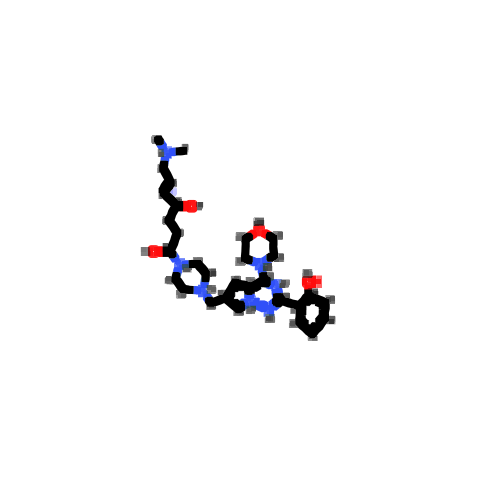 CN(C)C/C=C/C(=O)CCC(=O)N1CCN(Cc2cc3c(N4CCOCC4)nc(-c4ccccc4O)nn3c2)CC1